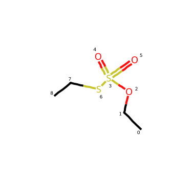 CCOS(=O)(=O)SCC